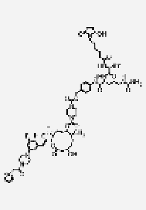 C/C(=C\c1cc(F)cc(N2CCN(C(=O)Cn3cccn3)CC2)c1)[C@H]1OC(=O)C[C@H](O)CC[C@H](C)[C@@H](OC(=O)N2CCN(C(=O)OCc3ccc(NC(=O)[C@H](CCCNC(N)=O)NC(=O)[C@@H](NC(=O)CCCCCN4C(=O)C=CC4O)C(C)C)cc3)CC2)/C=C/[C@@H]1C